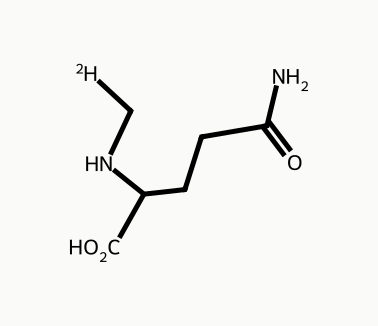 [2H]CNC(CCC(N)=O)C(=O)O